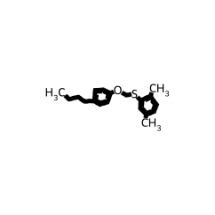 CCCCc1ccc(OCSc2cc(C)ccc2C)cc1